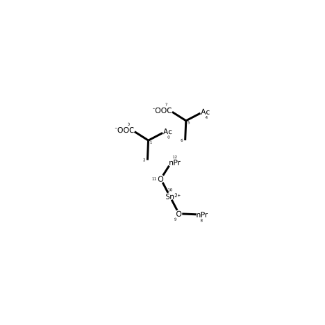 CC(=O)C(C)C(=O)[O-].CC(=O)C(C)C(=O)[O-].CCC[O][Sn+2][O]CCC